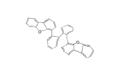 c1ccc(-c2cccc3c2oc2ccccc23)c(-c2ccccc2-c2cccc3c2oc2ccccc23)c1